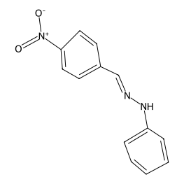 O=[N+]([O-])c1ccc(C=NNc2ccccc2)cc1